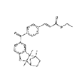 CCOC(=O)C=Cc1ccc(C(=O)c2ccc3c(c2)C2(C)C4(C)CCC(C4)C2(C)O3)cc1